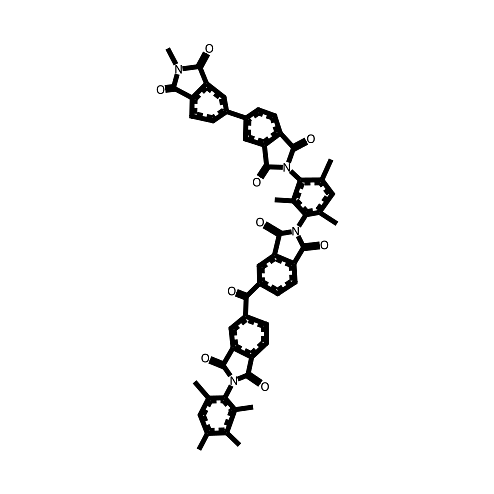 Cc1cc(C)c(N2C(=O)c3ccc(C(=O)c4ccc5c(c4)C(=O)N(c4c(C)cc(C)c(N6C(=O)c7ccc(-c8ccc9c(c8)C(=O)N(C)C9=O)cc7C6=O)c4C)C5=O)cc3C2=O)c(C)c1C